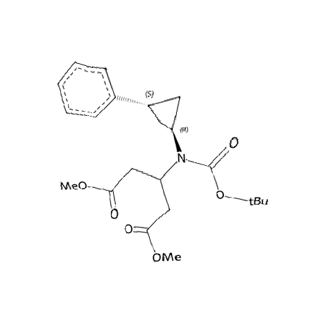 COC(=O)CC(CC(=O)OC)N(C(=O)OC(C)(C)C)[C@@H]1C[C@H]1c1ccccc1